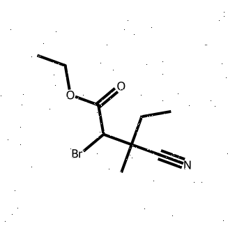 CCOC(=O)C(Br)C(C)(C#N)CC